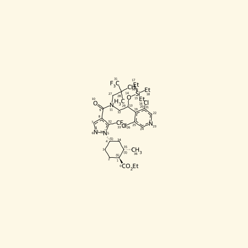 CCOC(=O)[C@H]1CC[C@H](n2ncc(C(=O)N(CC(O[Si](CC)(CC)CC)c3c(Cl)cncc3Cl)CC(C)(C)C(F)(F)F)c2C(F)(F)F)C[C@@H]1C